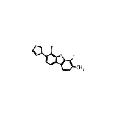 Cc1ccc2c(sc3c(F)c(C4C=CCC4)ccc32)c1F